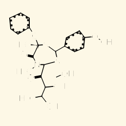 COc1ccc(C2S[C@@](CO)(C(=O)C(C)C(C)C)N(C)C(=O)[C@](C)(Cc3ccccc3)S2)cc1